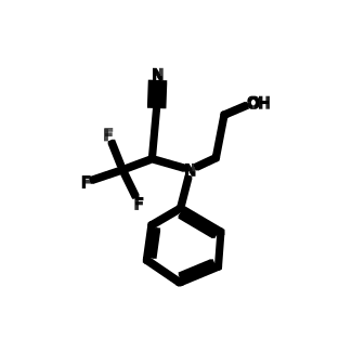 N#CC(N(CCO)c1ccccc1)C(F)(F)F